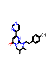 CC1Cn2c(nc(-c3ccncn3)cc2=O)N(CCc2ccc(C#N)cc2)C1C